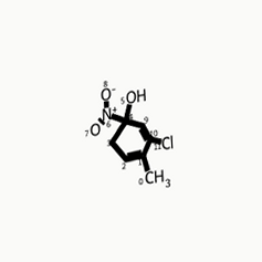 CC1=CCC(O)([N+](=O)[O-])C=C1Cl